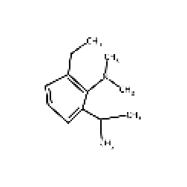 [CH2]C(C)c1cccc(CC)c1N(C)C